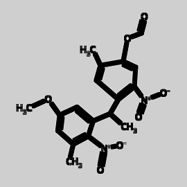 COc1cc(C)c([N+](=O)[O-])c(C(C)c2cc(C)c(OC=O)cc2[N+](=O)[O-])c1